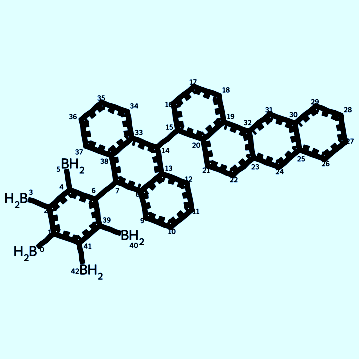 Bc1c(B)c(B)c(-c2c3ccccc3c(-c3cccc4c3ccc3cc5ccccc5cc34)c3ccccc23)c(B)c1B